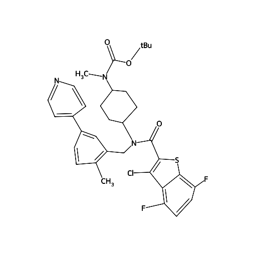 Cc1ccc(-c2ccncc2)cc1CN(C(=O)c1sc2c(F)ccc(F)c2c1Cl)C1CCC(N(C)C(=O)OC(C)(C)C)CC1